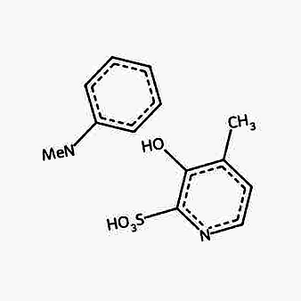 CNc1ccccc1.Cc1ccnc(S(=O)(=O)O)c1O